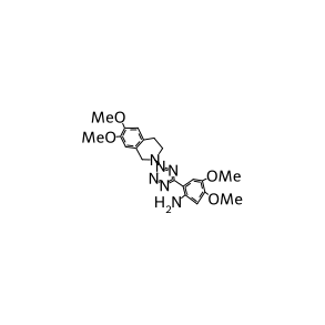 COc1cc(N)c(-c2nnn(N3CCc4cc(OC)c(OC)cc4C3)n2)cc1OC